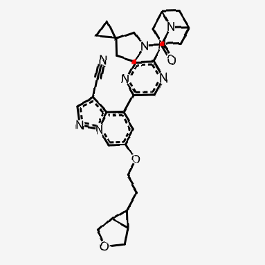 N#Cc1cnn2cc(OCCC3C4COCC34)cc(-c3cnc(N4CC5CC(C4)N5C(=O)N4CCC5(CC5)C4)cn3)c12